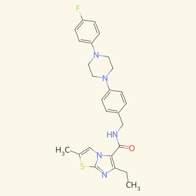 CCc1nc2sc(C)cn2c1C(=O)NCc1ccc(N2CCN(c3ccc(F)cc3)CC2)cc1